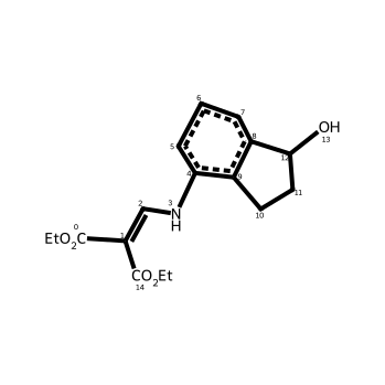 CCOC(=O)C(=CNc1cccc2c1CCC2O)C(=O)OCC